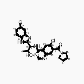 CC(O)[C@H](Nc1ncnc2cc(C(=O)N3CC=CC3)c(Cl)cc12)c1nc2cc(Cl)ccc2[nH]1